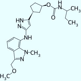 CCC(C)NC(=O)O[C@@H]1CC[C@H](c2cc(Nc3cccc4c(COC)nn(C)c34)n[nH]2)C1